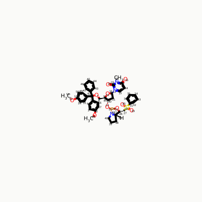 COc1ccc(C(OC[C@H]2O[C@@H](n3ccc(=O)n(C)c3=O)C[C@@H]2O[P@@]2O[C@H](CS(=O)(=O)c3ccccc3)[C@@H]3CCCN32)(c2ccccc2)c2ccc(OC)cc2)cc1